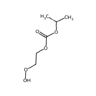 CC(C)OC(=O)OCCOO